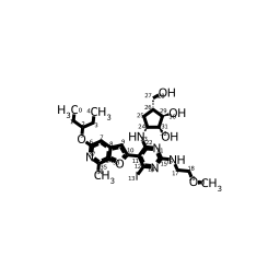 CCC(CC)Oc1cc2cc(-c3c(I)nc(NCCOC)nc3N[C@@H]3C[C@H](CO)[C@@H](O)[C@H]3O)oc2c(C)n1